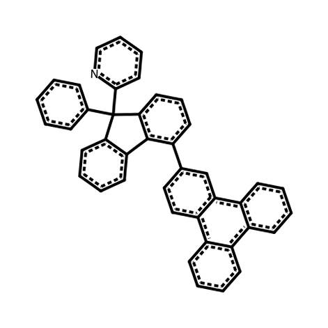 c1ccc(C2(c3ccccn3)c3ccccc3-c3c(-c4ccc5c6ccccc6c6ccccc6c5c4)cccc32)cc1